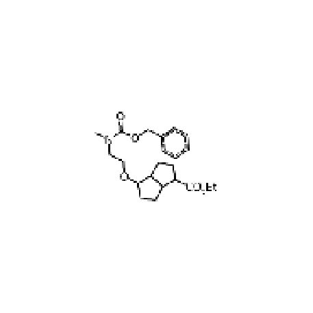 CCOC(=O)C1CCC2C(OCCN(C)C(=O)OCc3ccccc3)CCC12